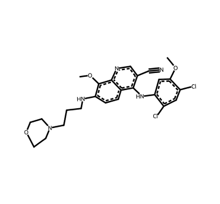 COc1cc(Nc2c(C#N)cnc3c(OC)c(NCCCN4CCOCC4)ccc23)c(Cl)cc1Cl